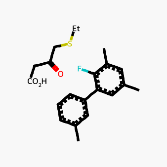 CCSCC(=O)CC(=O)O.Cc1cccc(-c2cc(C)cc(C)c2F)c1